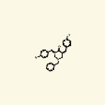 CC(C)c1ccc(/C=C2/CN(Cc3ccccc3)C/C(=C\c3ccc(C(C)C)cc3)C2=O)cc1